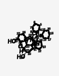 C[N+]1(C(c2ccccc2)(c2ccccc2)c2ccccc2)CC[C@]23c4c5ccc(O)c4O[C@H]2[C@@H](O)C=C[C@H]3[C@H]1C5